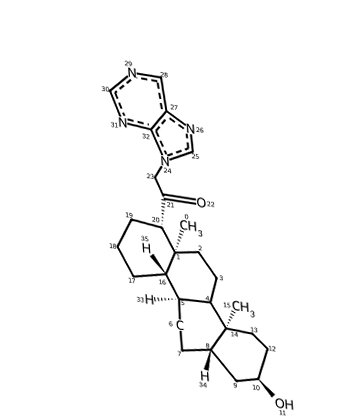 C[C@]12CCC3[C@@H](CC[C@H]4C[C@H](O)CC[C@]34C)[C@@H]1CCC[C@@H]2C(=O)Cn1cnc2cncnc21